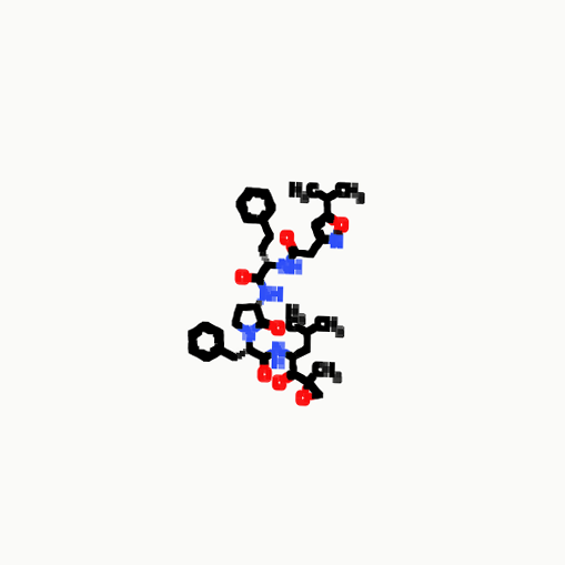 CC(C)C[C@H](NC(=O)[C@H](Cc1ccccc1)N1CC[C@H](NC(=O)[C@H](CCc2ccccc2)NC(=O)Cc2cc(C(C)C)on2)C1=O)C(=O)C1(C)CO1